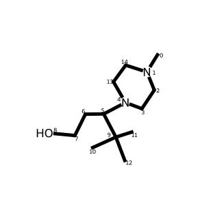 CN1CCN(C(CCO)C(C)(C)C)CC1